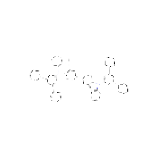 CC1(C)c2ccccc2N(c2cc(-c3ccccc3)cc(-c3ccccc3)c2)c2ccc(-c3ccc4c(c3)c3ccccc3n4-c3cc(-c4ccccc4)cc(-c4ccccc4)c3)cc21